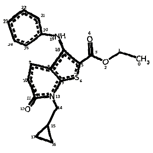 CCOC(=O)c1sc2c(ccc(=O)n2CC2CC2)c1Nc1ccccc1